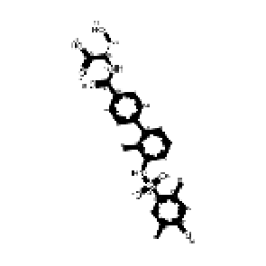 Cc1cc(S(=O)(=O)Nc2cccc(-c3ccc(C(=O)N[C@@H](CO)C(=O)O)cc3)c2C)c(C)cc1Cl